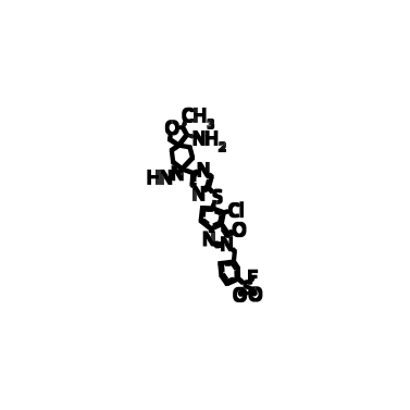 C[C@@H]1OCC2(CCC(N=N)(c3cnc(Sc4ccc5ncn(Cc6cccc(S(=O)(=O)F)c6)c(=O)c5c4Cl)cn3)CC2)[C@@H]1N